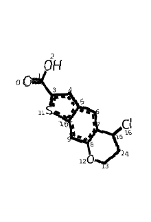 O=C(O)c1cc2cc3c(cc2s1)OCCC3Cl